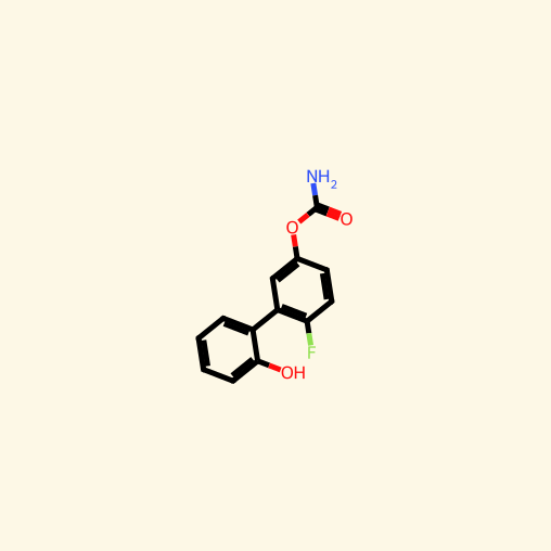 NC(=O)Oc1ccc(F)c(-c2ccccc2O)c1